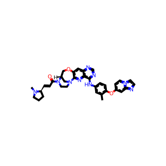 Cc1cc(Nc2ncnc3cc4c(nc23)N2CCN(C(=O)/C=C/[C@H]3CCCN3C)[C@H](CO4)C2)ccc1Oc1ccn2ccnc2c1